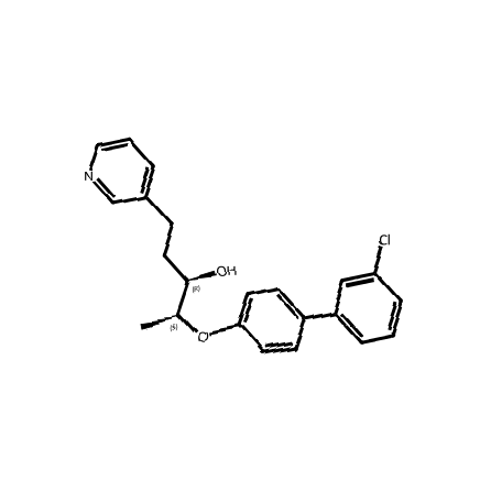 C[C@H](Oc1ccc(-c2cccc(Cl)c2)cc1)[C@H](O)CCc1cccnc1